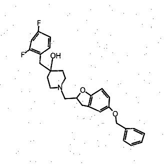 OC1(Cc2ccc(F)cc2F)CCN(CC2Cc3cc(OCc4ccccc4)ccc3O2)CC1